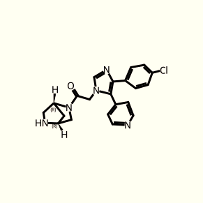 O=C(Cn1cnc(-c2ccc(Cl)cc2)c1-c1ccncc1)N1C[C@H]2C[C@@H]1CN2